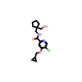 O=C(NCC1(CO)CCCC1)c1cc(OCC2CC2)c(Cl)cn1